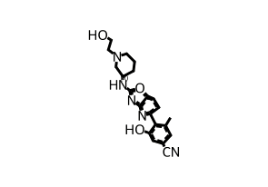 Cc1cc(C#N)cc(O)c1-c1ccc2oc(N[C@@H]3CCCN(CCO)C3)nc2n1